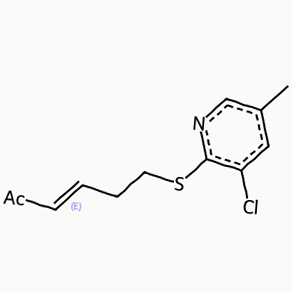 CC(=O)/C=C/CCSc1ncc(C)cc1Cl